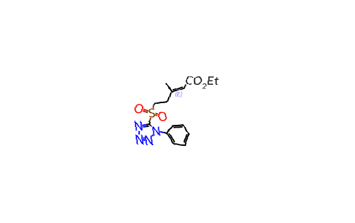 CCOC(=O)/C=C(\C)CCS(=O)(=O)c1nnnn1-c1ccccc1